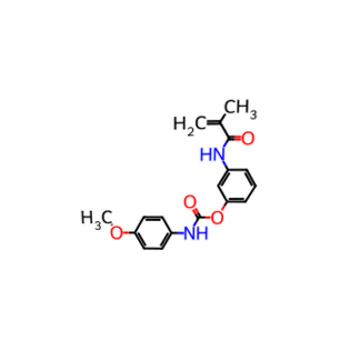 C=C(C)C(=O)Nc1cccc(OC(=O)Nc2ccc(OC)cc2)c1